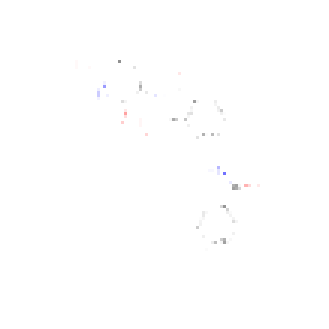 O=C(NCc1ccc2c(c1)C(O)N(C1CCC(O)NC1O)C2O)c1ccc(I)cc1